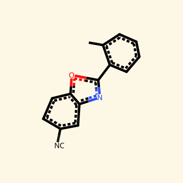 [C-]#[N+]c1ccc2oc(-c3ccccc3C)nc2c1